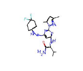 Cc1cc(C)n(-c2nc(NC3CCC(F)(F)CC3)cc(NC(C(N)=O)C(C)C)n2)n1